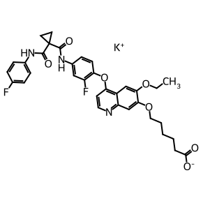 CCOc1cc2c(Oc3ccc(NC(=O)C4(C(=O)Nc5ccc(F)cc5)CC4)cc3F)ccnc2cc1OCCCCCC(=O)[O-].[K+]